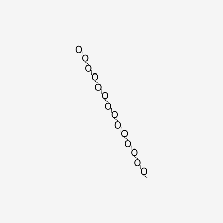 CCOCCOCCOCCOCCOCCOCCOCCOCCOCCOCCOCCOCCOCCOC